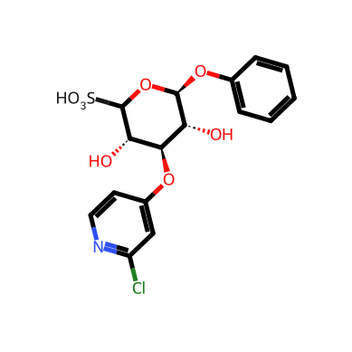 O=S(=O)(O)C1O[C@@H](Oc2ccccc2)[C@H](O)[C@@H](Oc2ccnc(Cl)c2)[C@@H]1O